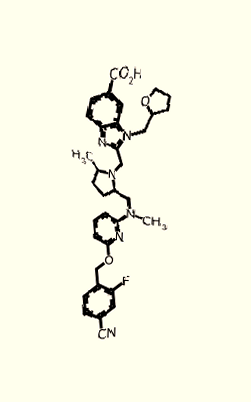 CC1CCC(CN(C)c2cccc(OCc3ccc(C#N)cc3F)n2)N1Cc1nc2ccc(C(=O)O)cc2n1CC1CCCO1